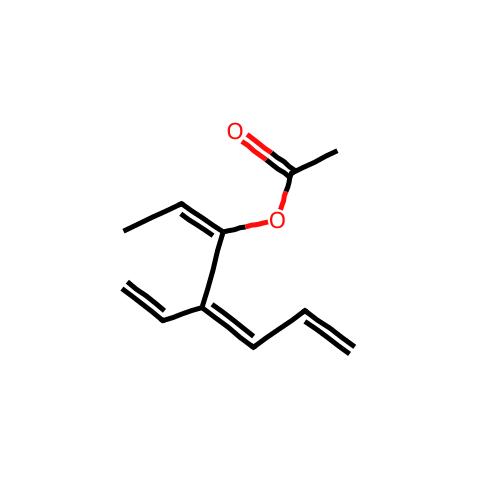 C=C/C=C(C=C)\C(=C/C)OC(C)=O